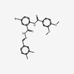 COc1ccc(C(=O)Nc2ccc(Br)cc2C(=O)NN=Cc2ccc(C)c(C)c2)cc1OC